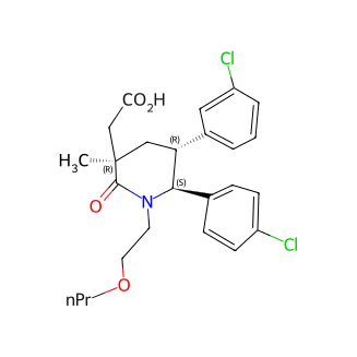 CCCOCCN1C(=O)[C@@](C)(CC(=O)O)C[C@H](c2cccc(Cl)c2)[C@H]1c1ccc(Cl)cc1